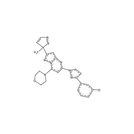 CC1(c2cc3nc(-n4ccc(-c5cccc(Cl)c5)n4)cc(N4CCOCC4)n3n2)C=CN=N1